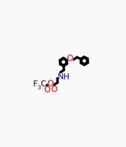 O=C(CCNCCc1cccc(OCCc2ccccc2)c1)OC(=O)C(F)(F)F